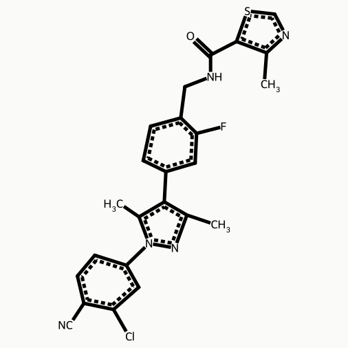 Cc1ncsc1C(=O)NCc1ccc(-c2c(C)nn(-c3ccc(C#N)c(Cl)c3)c2C)cc1F